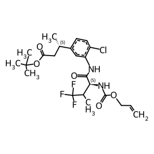 C=CCOC(=O)N[C@H](C(=O)Nc1cc([C@@H](C)CC(=O)OC(C)(C)C)ccc1Cl)C(C)C(F)(F)F